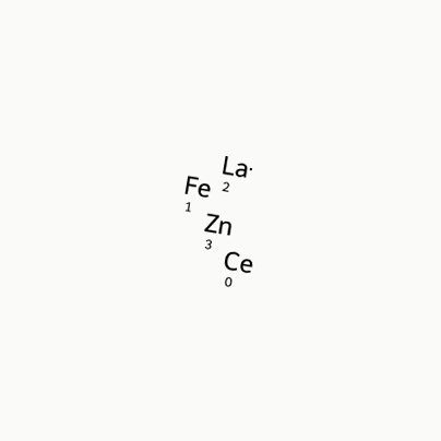 [Ce].[Fe].[La].[Zn]